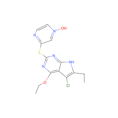 CCOc1nc(Sc2c[n+](O)ccn2)nc2[nH]c(CC)c(Cl)c12